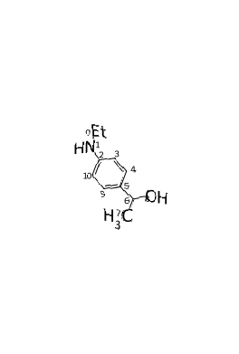 CCNc1ccc(C(C)O)cc1